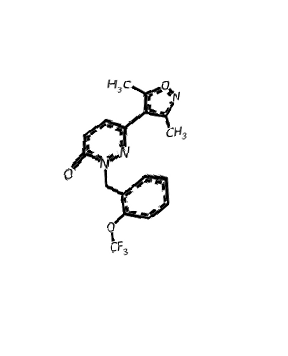 Cc1noc(C)c1-c1ccc(=O)n(Cc2ccccc2OC(F)(F)F)n1